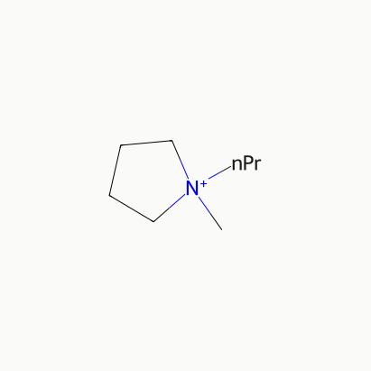 [CH2]CC[N+]1(C)CCCC1